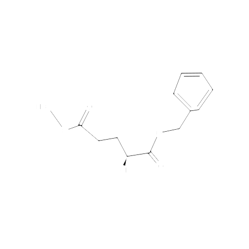 COC(=O)CC[C@H](C)C(=O)OCc1ccccc1